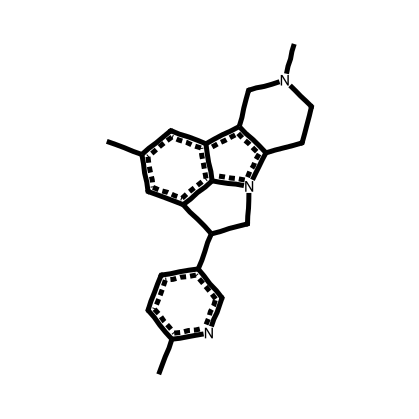 Cc1cc2c3c(c1)c1c(n3CC2c2ccc(C)nc2)CCN(C)C1